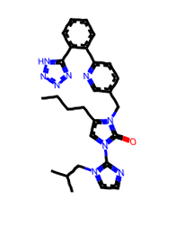 CCCCc1cn(-c2nccn2CC(C)C)c(=O)n1Cc1ccc(-c2ccccc2-c2nnn[nH]2)nc1